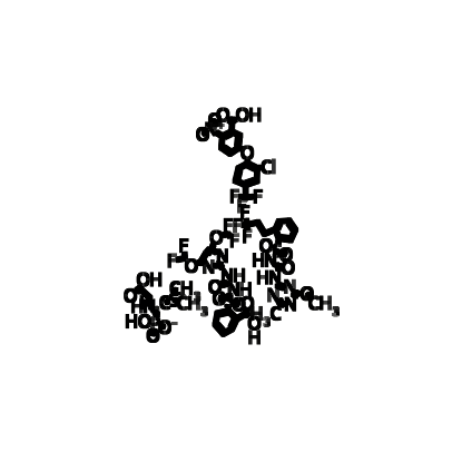 COc1nc(C)nc(NC(=O)NS(=O)(=O)c2ccccc2CCC(F)(F)F)n1.C[S+](C)C.O=C(Nc1nc(OC(F)F)cc(OC(F)F)n1)NS(=O)(=O)c1ccccc1C(=O)O.O=C(O)CNCP(=O)([O-])O.O=C(O)c1cc(Oc2ccc(C(F)(F)F)cc2Cl)ccc1[N+](=O)[O-]